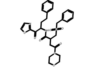 O=C(NC(CCc1ccccc1)C(=O)c1ncco1)C(CC(=O)N1CCOCC1)CS(=O)(=O)Cc1ccccc1